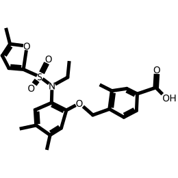 CCN(c1cc(C)c(C)cc1OCc1ccc(C(=O)O)cc1C)S(=O)(=O)c1ccc(C)o1